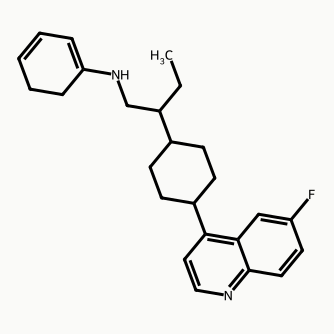 CCC(CNC1=CC=CCC1)C1CCC(c2ccnc3ccc(F)cc23)CC1